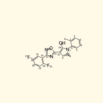 Cc1ccccc1-n1ncc(-c2nc(-c3cc(F)ccc3F)no2)c1O